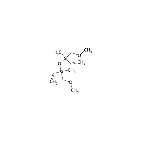 C=C[Si](C)(COC)O[Si](C)(C=C)COC